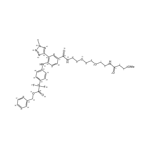 COCCC(=O)NCCOCCOCCNC(=O)c1ccc(Nc2ccc(C(F)(F)C(=O)OCc3ccccc3)cc2)c(-c2nnn(C)n2)c1